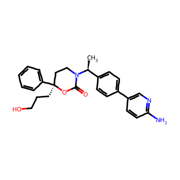 C[C@@H](c1ccc(-c2ccc(N)nc2)cc1)N1CC[C@](CCCO)(c2ccccc2)OC1=O